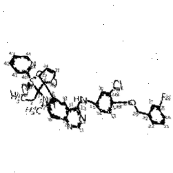 CCC(NC)(C1(c2ccc3ncnc(Nc4ccc(OCc5cccc(F)c5)c(Cl)c4)c3c2)CC=CO1)S(=O)(=O)c1ccccn1